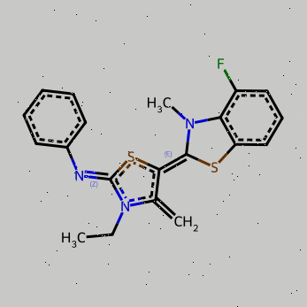 C=c1/c(=C2\Sc3cccc(F)c3N2C)s/c(=N\c2ccccc2)n1CC